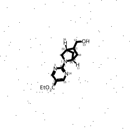 CCOC(=O)c1cnc(N2C[C@H]3C[C@@H]2CC3CO)nc1